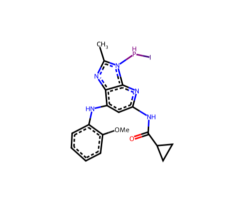 COc1ccccc1Nc1cc(NC(=O)C2CC2)nc2c1nc(C)n2PI